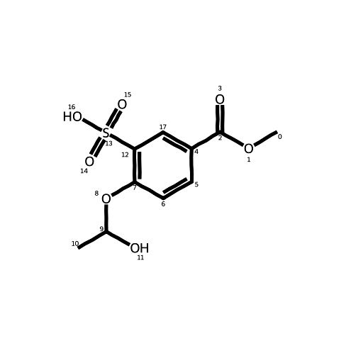 COC(=O)c1ccc(OC(C)O)c(S(=O)(=O)O)c1